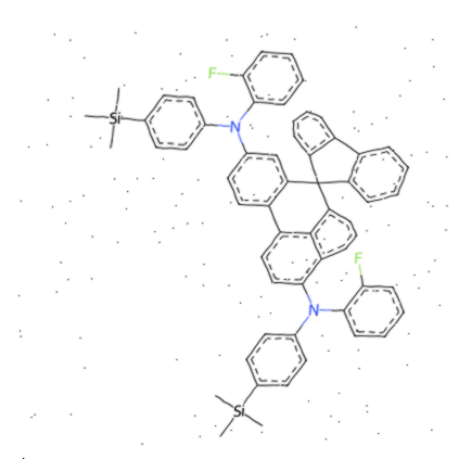 C[Si](C)(C)c1ccc(N(c2ccc3c(c2)C2(c4ccccc4-c4ccccc42)c2cccc4c(N(c5ccc([Si](C)(C)C)cc5)c5ccccc5F)ccc-3c24)c2ccccc2F)cc1